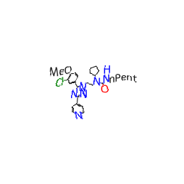 CCCCCNC(=O)N(CCn1nc(-c2ccncc2)nc1-c1ccc(OC)c(Cl)c1)C1CCCC1